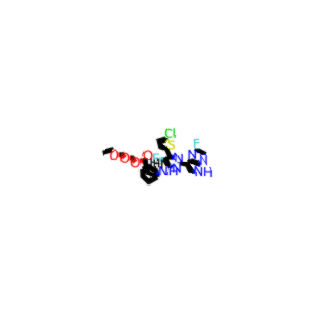 CCOCOCOC(=O)[C@H]1C2CCC(CC2)[C@@H]1Nc1nc(-c2c[nH]c3ncc(F)nc23)nc(-c2ccc(Cl)s2)c1F